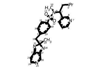 CC(C)CC(c1cccnc1)N(C)S(=O)(=O)c1ccc(CC2(C)N=c3ccncc3=N2)cc1